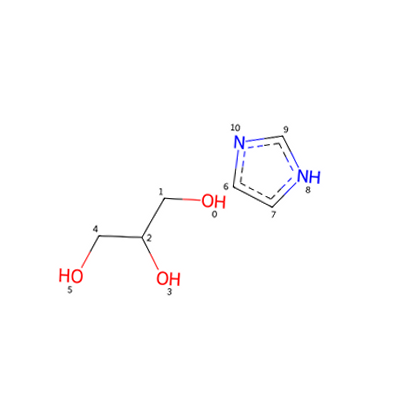 OCC(O)CO.c1c[nH]cn1